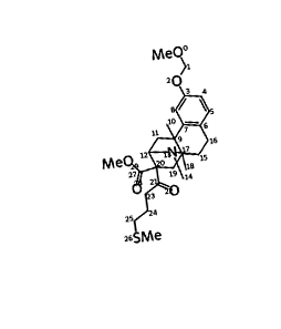 COCOc1ccc2c(c1)C1(C)CC3N(C)C(C2)C1(C)CC3(C(=O)CCCSC)C(=O)OC